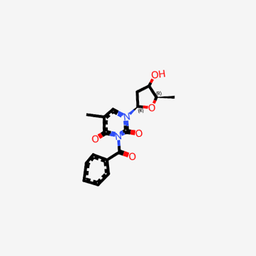 Cc1cn([C@H]2CC(O)[C@@H](C)O2)c(=O)n(C(=O)c2ccccc2)c1=O